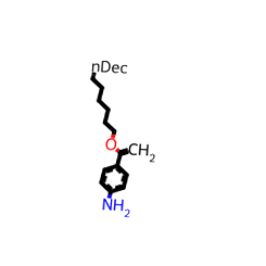 C=C(OCCCCCCCCCCCCCCCC)c1ccc(N)cc1